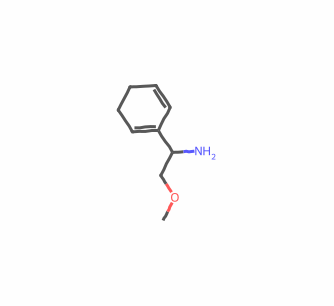 COCC(N)C1=CCCC=C1